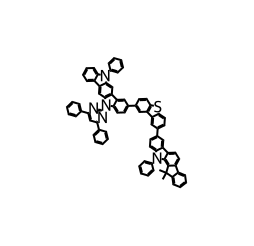 CC1(C)c2ccccc2-c2ccc3c4cc(-c5ccc6sc7ccc(-c8ccc9c(c8)c8cc%10c(cc8n9-c8nc(-c9ccccc9)cc(-c9ccccc9)n8)c8ccccc8n%10-c8ccccc8)cc7c6c5)ccc4n(-c4ccccc4)c3c21